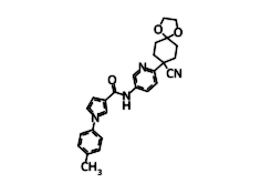 Cc1ccc(-n2ccc(C(=O)Nc3ccc(C4(C#N)CCC5(CC4)OCCO5)nc3)c2)cc1